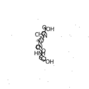 C[C@@H]1CN(c2ncc(C(=O)O)cc2Cl)CCN1c1cccc(C(=O)N[C@H]2C3CC4CC2C[C@](O)(C4)C3)n1